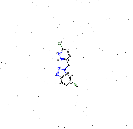 Clc1ccc(Cn2nnc3ccc(Br)cc32)nn1